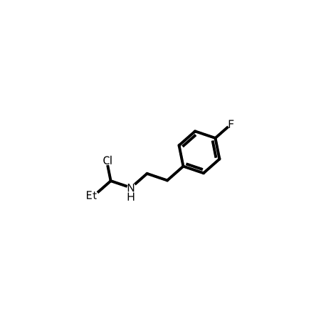 CCC(Cl)NCCc1ccc(F)cc1